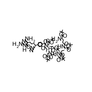 CN(C)N=CC(CCCc1c(N)nc(N)[nH]c1=O)c1ccc(C(=O)N(C(=O)CC[C@H](NC(=O)CC[C@H](NC(=O)CC[C@H](NC(=O)CC[C@H](N)C(=O)OC(C)(C)C)C(=O)OC(C)(C)C)C(=O)OC(C)(C)C)C(=O)OC(C)(C)C)[C@@H](CCC(=O)OC(C)(C)C)C(=O)OC(C)(C)C)cc1